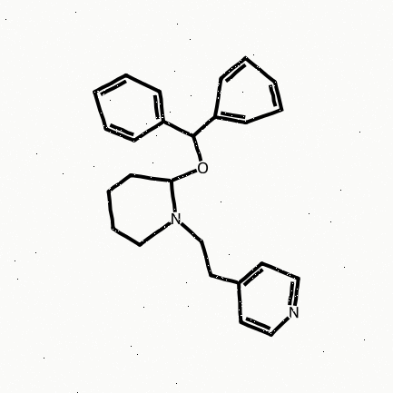 c1ccc(C(OC2CCCCN2CCc2ccncc2)c2ccccc2)cc1